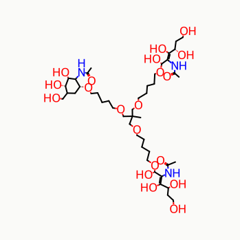 CC(=O)N/C(=C(/O)[C@@H](O)CCO)[C@@H](O)OCCCCCOCC(C)(COCCCCCO[C@H](O)/C(NC(C)=O)=C(\O)[C@@H](O)CCO)COCCCCCO[C@@H]1CC(CO)[C@H](O)C(O)C1NC(C)=O